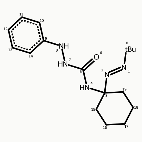 CC(C)(C)N=NC1(NC(=O)NNc2ccccc2)CCCCC1